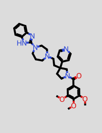 COc1cc(C(=O)N2CCC(CCN3CCCN(c4nc5ccccc5[nH]4)CC3)(c3ccncc3)C2)cc(OC)c1OC